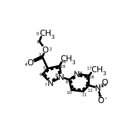 CCOC(=O)c1cnn(-c2ccc([N+](=O)[O-])c(C)n2)c1C